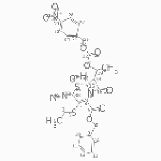 CCSC1=C(C(=O)OCc2ccccc2)N2C(=O)[C@H](C(C)OC(=O)OCc3ccc([N+](=O)[O-])cc3)[C@@H]2[S@@+]([O-])C1=[N+]=[N-]